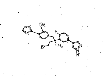 CC(C)(C)c1cc(CC(C)(CCS)c2cc(-c3cn[nH]c3)ccc2F)ccc1-c1nccs1